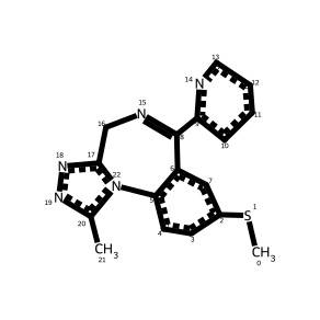 CSc1ccc2c(c1)C(c1ccccn1)=NCc1nnc(C)n1-2